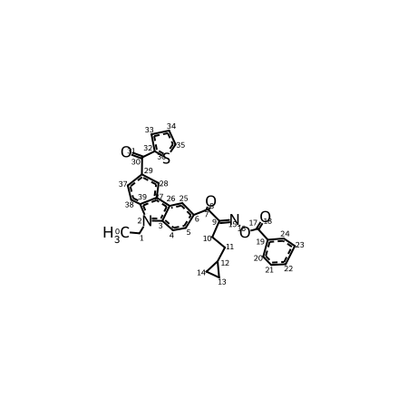 CCn1c2ccc(C(=O)/C(CCC3CC3)=N/OC(=O)c3ccccc3)cc2c2cc(C(=O)c3cccs3)ccc21